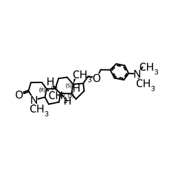 CN(C)c1ccc(COCC2CC[C@H]3[C@@H]4CCC5N(C)C(=O)CC[C@]5(C)[C@@H]4CC[C@]23C)cc1